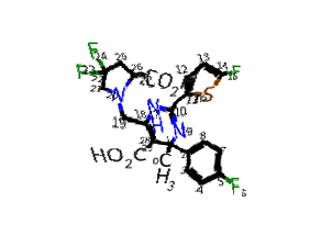 CC1(c2ccc(F)cc2)N=C(c2ccc(F)s2)NC(CN2CC(F)(F)CC2C(=O)O)=C1C(=O)O